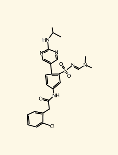 CC(C)Nc1ncc(-c2ccc(NC(=O)Cc3ccccc3Cl)cc2S(=O)(=O)/N=C/N(C)C)cn1